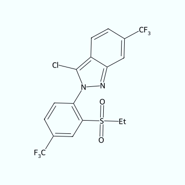 CCS(=O)(=O)c1cc(C(F)(F)F)ccc1-n1nc2cc(C(F)(F)F)ccc2c1Cl